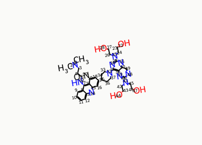 CN(C)CCCNc1c2ccccc2nc2cccc([N+](=O)[O-])c12.OCCN(CCO)c1nc(N2CCCCC2)c2nc(N(CCO)CCO)ncc2n1